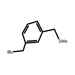 CCC(C)Cc1cccc(CSC)c1